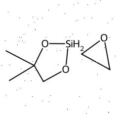 C1CO1.CC1(C)CO[SiH2]O1